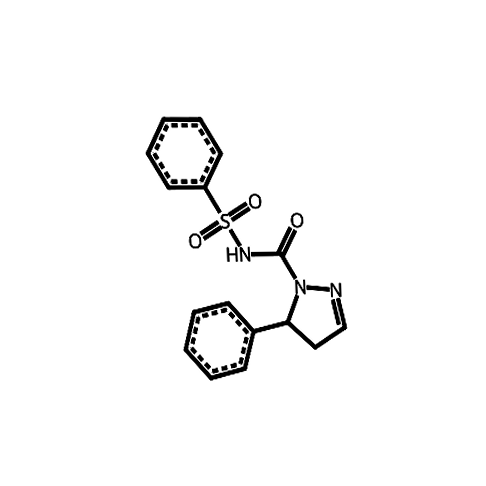 O=C(NS(=O)(=O)c1ccccc1)N1N=CCC1c1ccccc1